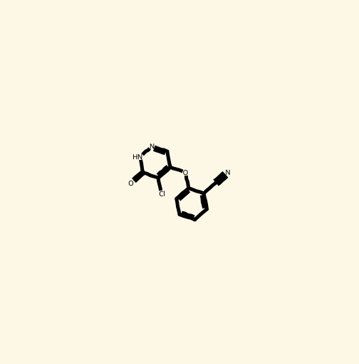 N#Cc1ccccc1Oc1cn[nH]c(=O)c1Cl